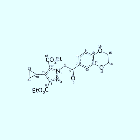 CCOC(=O)c1nn(CC(=O)c2ccc3c(c2)OCCO3)c(C(=O)OCC)c1C1CC1